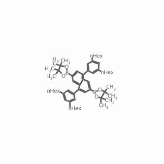 CCCCCCc1cc(CCCCCC)cc(-c2cc(B3OC(C)(C)C(C)(C)O3)cc3c(-c4cc(CCCCCC)cc(CCCCCC)c4)cc(B4OC(C)(C)C(C)(C)O4)cc23)c1